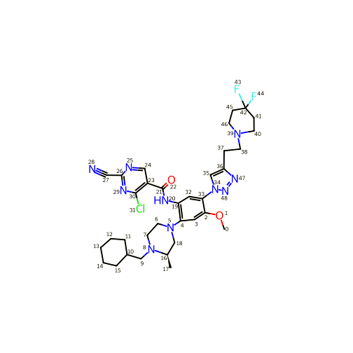 COc1cc(N2CCN(CC3CCCCC3)[C@H](C)C2)c(NC(=O)c2cnc(C#N)nc2Cl)cc1-n1cc(CCN2CCC(F)(F)CC2)nn1